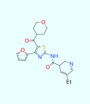 CCC1=CC(C(=O)Nc2nc(-c3ccco3)c(C(=O)C3CCOCC3)s2)CN=C1